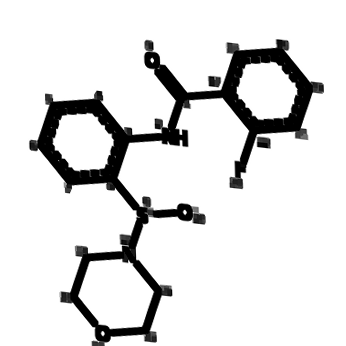 O=C(Nc1ccccc1[S+]([O-])N1CCOCC1)c1ccccc1F